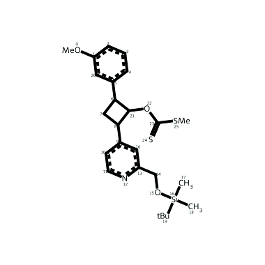 COc1cccc(C2CC(c3ccnc(CO[Si](C)(C)C(C)(C)C)c3)C2OC(=S)SC)c1